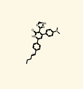 CCC/C=C/c1ccc(-c2cc(-c3ccc(N(C)C)cc3)c(-c3nc[nH]n3)c(=O)[nH]2)cc1